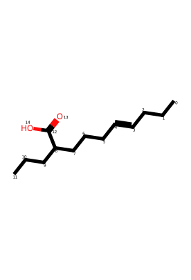 CCCC=CCCCC(CCC)C(=O)O